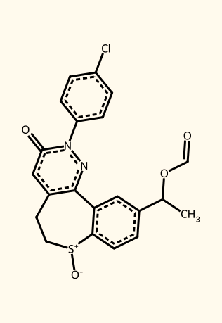 CC(OC=O)c1ccc2c(c1)-c1nn(-c3ccc(Cl)cc3)c(=O)cc1CC[S+]2[O-]